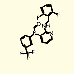 O=CN(c1cccc(C(F)(F)F)c1)c1cccnc1NCc1c(F)cccc1F